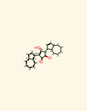 O=C1C(=O)C(C2C=CC3CCCCCC32)C(O)=C1c1ccc2cccccc1-2